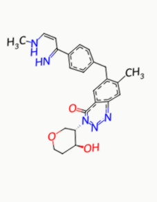 CN/C=C\C(=N)c1ccc(Cc2cc3c(=O)n([C@H]4COCC[C@@H]4O)nnc3cc2C)cc1